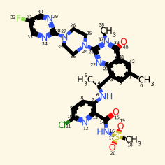 Cc1cc([C@@H](C)Nc2ccc(Cl)nc2C(=O)NS(C)(=O)=O)c2nc(N3CCN(c4ncc(F)cn4)CC3)n(C)c(=O)c2c1